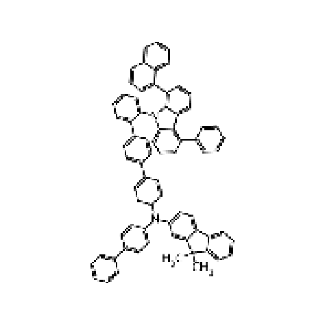 CC1(C)c2ccccc2-c2ccc(N(c3ccc(-c4ccccc4)cc3)C3C=CC(c4ccc(-c5ccccc5-n5c6cccc(-c7ccccc7)c6c6cccc(-c7cccc8ccccc78)c65)cc4)=CC3)cc21